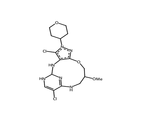 COC1CNC2=NC(NC=C2Cl)Nc2c(nn(C3CCOCC3)c2Cl)OC1